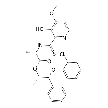 COc1ccnc(C(=S)N[C@@H](C)C(=O)O[C@@H](C)[C@H](Oc2ccccc2Cl)c2ccccc2)c1O